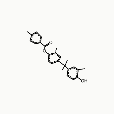 Cc1ccc(C(=O)Oc2ccc(C(C)(C)c3ccc(O)c(C)c3)cc2C)cc1